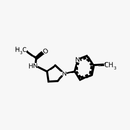 CC(=O)NC1CCN(c2ccc(C)cn2)C1